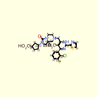 CCOC(=O)C1=C(CN2CCN3C(=O)N([C@H]4CC[C@@H](C(=O)O)C4)C[C@@H]3C2)NC(c2nccs2)=N[C@H]1c1cccc(F)c1Cl